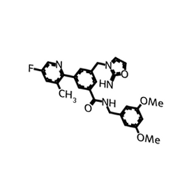 COc1cc(CNC(=O)c2cc(Cn3ccoc3=N)cc(-c3ncc(F)cc3C)c2)cc(OC)c1